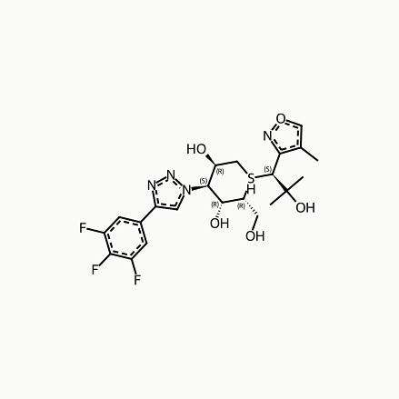 Cc1conc1[C@H]([SH]1C[C@H](O)[C@H](n2cc(-c3cc(F)c(F)c(F)c3)nn2)[C@@H](O)[C@H]1CO)C(C)(C)O